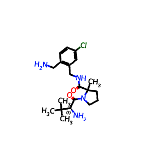 CC(C)(C)[C@H](N)C(=O)N1CCCC1(C)C(=O)NCc1cc(Cl)ccc1CN